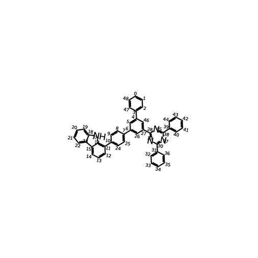 c1ccc(-c2cc(-c3ccc(-c4cccc5c4[nH]c4ccccc45)cc3)cc(-c3nc(-c4ccccc4)nc(-c4ccccc4)n3)c2)cc1